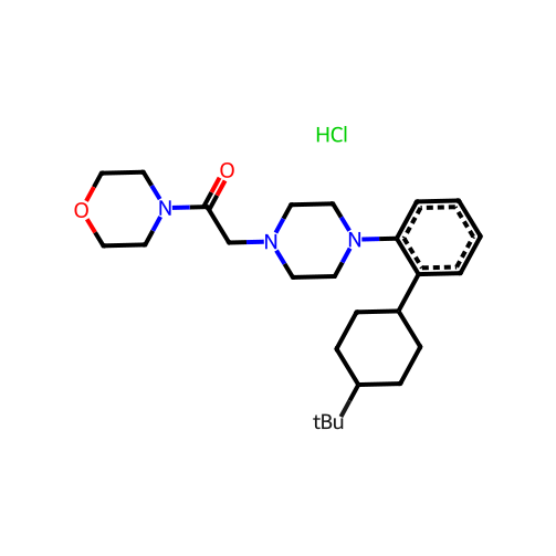 CC(C)(C)C1CCC(c2ccccc2N2CCN(CC(=O)N3CCOCC3)CC2)CC1.Cl